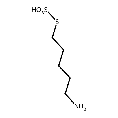 NCCCCCSS(=O)(=O)O